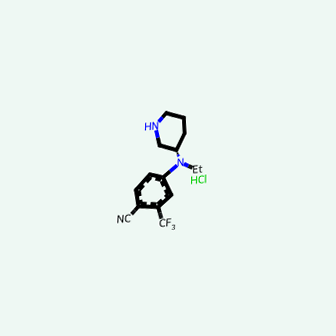 CCN(c1ccc(C#N)c(C(F)(F)F)c1)[C@H]1CCCNC1.Cl